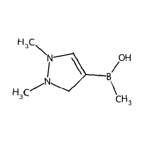 CB(O)C1=CN(C)N(C)C1